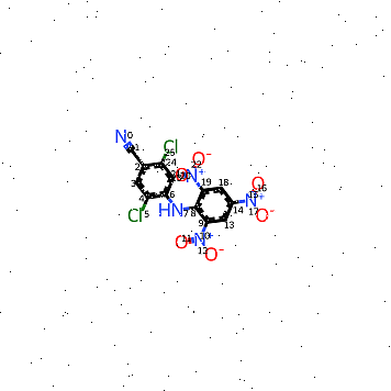 N#Cc1cc(Cl)c(Nc2c([N+](=O)[O-])cc([N+](=O)[O-])cc2[N+](=O)[O-])cc1Cl